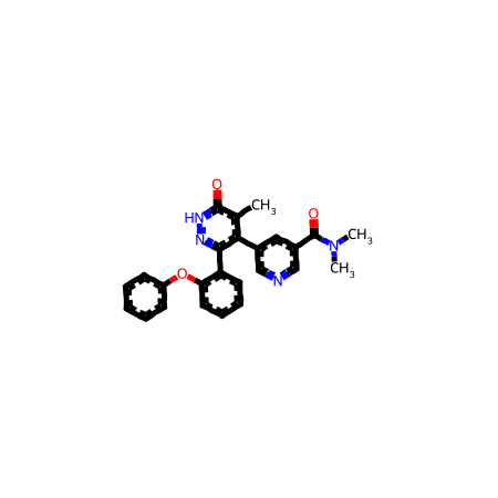 Cc1c(-c2cncc(C(=O)N(C)C)c2)c(-c2ccccc2Oc2ccccc2)n[nH]c1=O